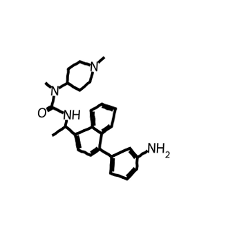 CC(NC(=O)N(C)C1CCN(C)CC1)c1ccc(-c2cccc(N)c2)c2ccccc12